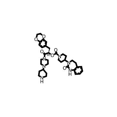 O=C(O[C@H](Cc1ccc2c(c1)OCCO2)C(=O)N1CCN(C2CCNCC2)CC1)N1CCC(N2CCc3ccccc3NC2=O)CC1